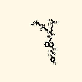 CCOC(C)(C)CCNC(=O)CCC(=O)OC(CCCNC(=N)N)C(=O)NCCN1CCC(NC(=O)C(=O)Nc2ccc(Cl)cc2)CC12CCCCC2